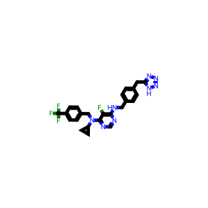 Fc1c(NCc2ccc(Cc3nnn[nH]3)cc2)ncnc1N(Cc1ccc(C(F)(F)F)cc1)C1CC1